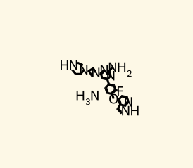 N.Nc1nc(-c2ccc(Oc3ccnc4[nH]ccc34)c(F)c2)cc(N2CC(N3CCCNCC3)C2)n1